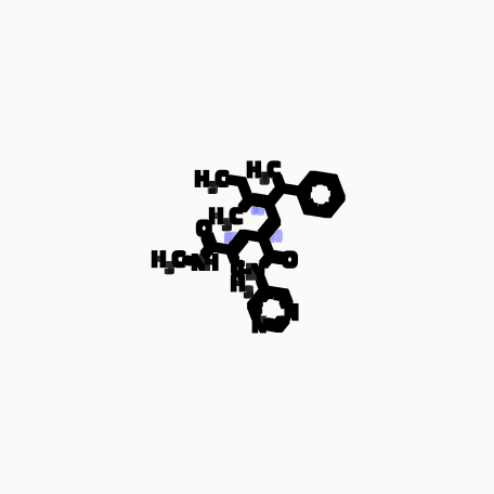 CC/C(C)=C(/C=C(\C=C(/C)C(=O)NC)C(=O)Nc1cncnc1)C(C)c1ccccc1